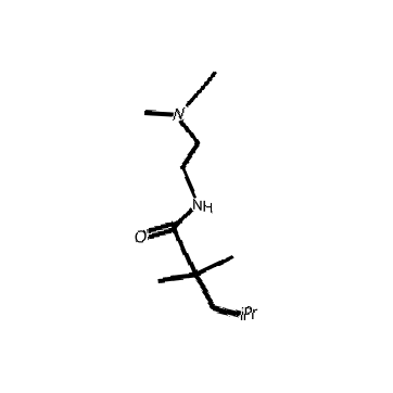 CC(C)CC(C)(C)C(=O)NCCN(C)C